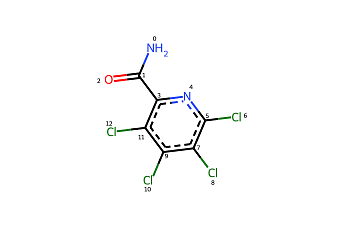 NC(=O)c1nc(Cl)c(Cl)c(Cl)c1Cl